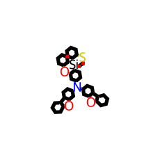 c1ccc2c(c1)Oc1cc(N(c3ccc4c(c3)oc3ccccc34)c3ccc4c(c3)oc3ccccc34)ccc1[Si]21c2ccccc2Sc2ccccc21